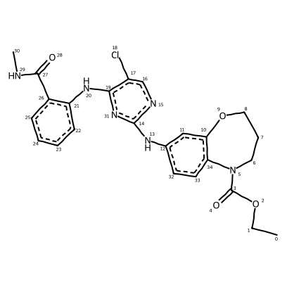 CCOC(=O)N1CCCOc2cc(Nc3ncc(Cl)c(Nc4ccccc4C(=O)NC)n3)ccc21